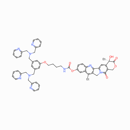 CCc1c2c(nc3ccc(OC(=O)NCCCCOc4cc(CN(Cc5ccccn5)Cc5ccccn5)cc(CN(Cc5ccccn5)Cc5ccccn5)c4)cc13)-c1cc3c(c(=O)n1C2)COC(=O)[C@@]3(O)CC